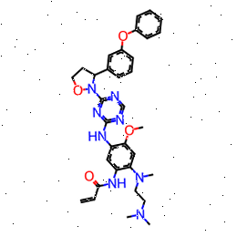 C=CC(=O)Nc1cc(Nc2ncnc(N3OCCC3c3cccc(Oc4ccccc4)c3)n2)c(OC)cc1N(C)CCN(C)C